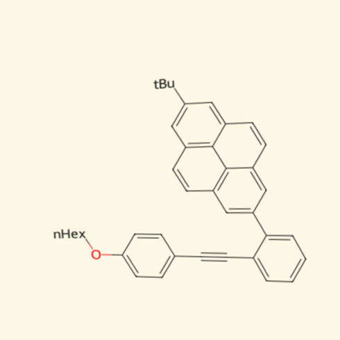 CCCCCCOc1ccc(C#Cc2ccccc2-c2cc3ccc4cc(C(C)(C)C)cc5ccc(c2)c3c45)cc1